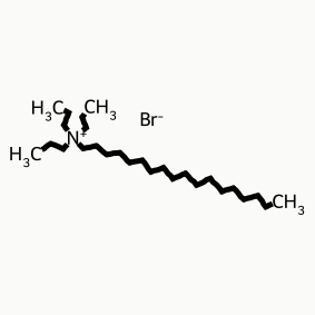 CCCCCCCCCCCCCCCCCC[N+](CCC)(CCC)CCC.[Br-]